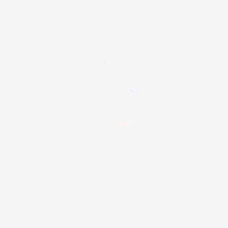 CCCc1ccc2c(c1)CCC1C(C)(CNCCC(O)c3ccc(F)cc3)CCCC21C.Cl